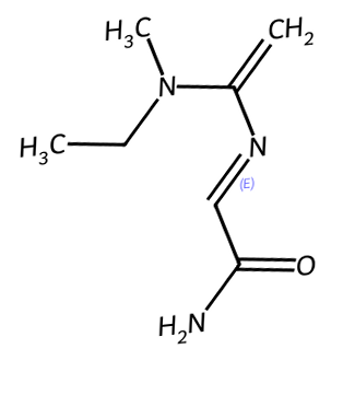 C=C(/N=C/C(N)=O)N(C)CC